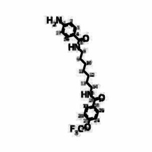 Nc1ccc(C(=O)NCCCCCCCNC(=O)c2ccc(OC(F)(F)F)cc2)cc1